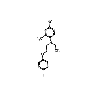 [C-]#[N+]c1ccc(N(CCOc2ccc(F)cc2)CC(F)(F)F)c(C(F)(F)F)c1